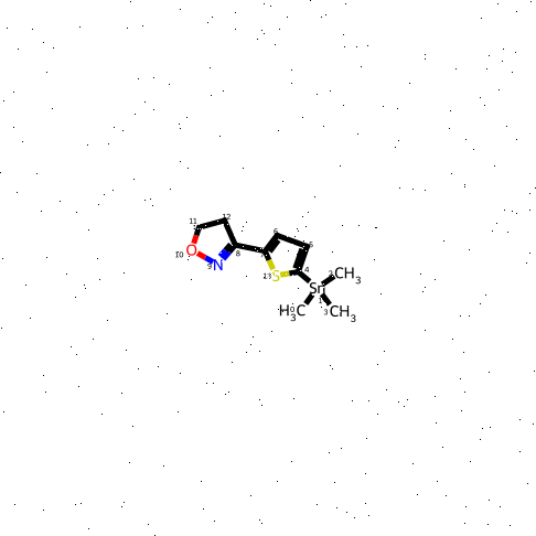 [CH3][Sn]([CH3])([CH3])[c]1ccc(C2=NO[C]C2)s1